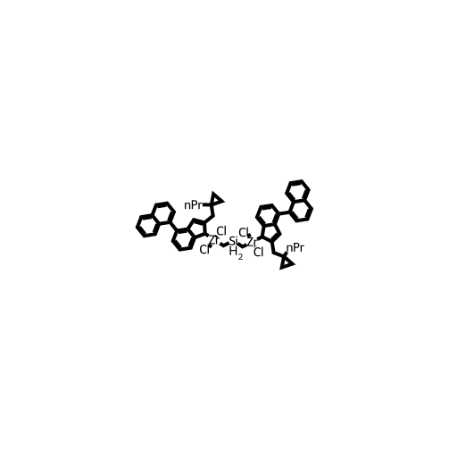 CCCC1(CC2=Cc3c(-c4cccc5ccccc45)cccc3[CH]2[Zr]([Cl])([Cl])[CH2][SiH2][CH2][Zr]([Cl])([Cl])[CH]2C(CC3(CCC)CC3)=Cc3c(-c4cccc5ccccc45)cccc32)CC1